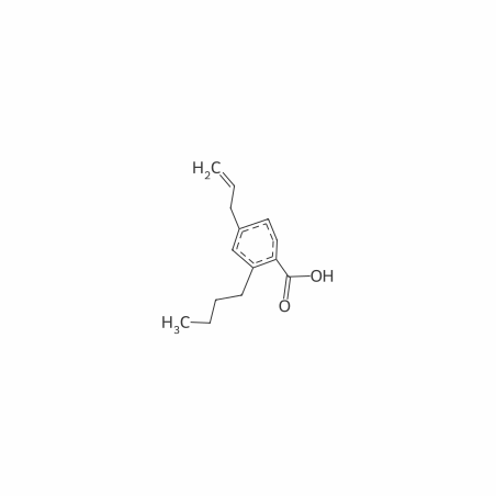 C=CCc1ccc(C(=O)O)c(CCCC)c1